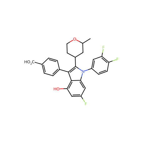 CC1CC(c2c(-c3ccc(C(=O)O)cc3)c3c(O)cc(F)cc3n2-c2ccc(F)c(F)c2)CCO1